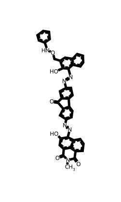 CN1C(=O)c2cccc3c(N=Nc4ccc5c(c4)C(=O)c4cc(N=Nc6c(O)c(CONc7ccccc7)cc7ccccc67)ccc4-5)c(O)cc(c23)C1=O